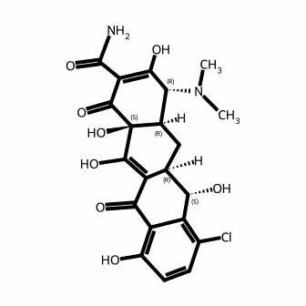 CN(C)[C@H]1C(O)=C(C(N)=O)C(=O)[C@@]2(O)C(O)=C3C(=O)c4c(O)ccc(Cl)c4[C@@H](O)[C@@H]3C[C@H]12